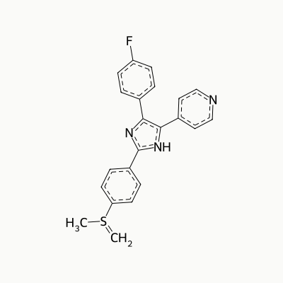 C=S(C)c1ccc(-c2nc(-c3ccc(F)cc3)c(-c3ccncc3)[nH]2)cc1